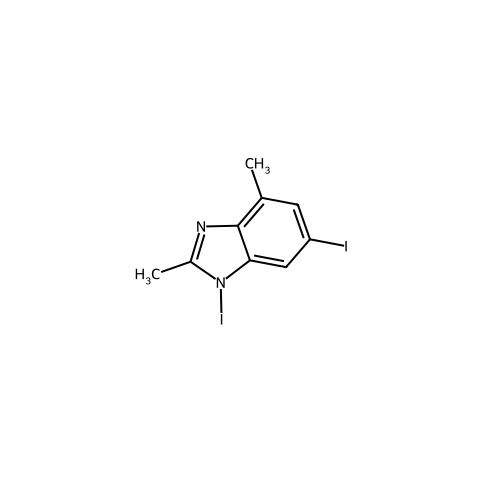 Cc1cc(I)cc2c1nc(C)n2I